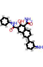 NC(=O)c1c(O)c(C(=O)Nc2ccccc2)cc2cc(-c3cccc(N)c3)ccc12